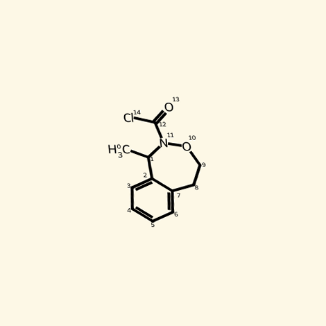 CC1c2ccccc2CCON1C(=O)Cl